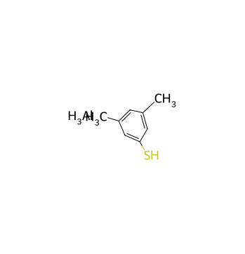 Cc1cc(C)cc(S)c1.[AlH3]